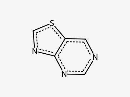 [c]1ncnc2ncsc12